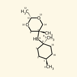 C[C@H]1CC[C@@](C)(B[C@]2(C)CO[C@H](C)OC2)CC1